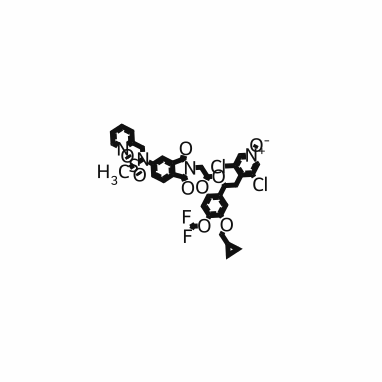 CS(=O)(=O)N(Cc1ccccn1)c1ccc2c(c1)C(=O)N(CC(=O)OC(Cc1c(Cl)c[n+]([O-])cc1Cl)c1ccc(OC(F)F)c(OCC3CC3)c1)C2=O